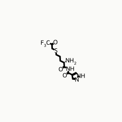 N[C@@H](CCCSCC(=O)C(F)(F)F)C(=O)NC(=O)c1cn[nH]c1